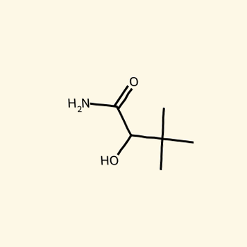 CC(C)(C)C(O)C(N)=O